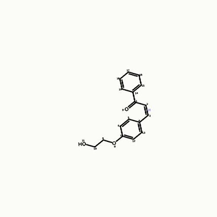 O=C(/C=C\c1ccc(OCCO)cc1)c1ccccc1